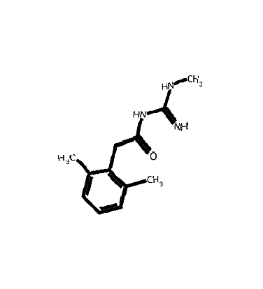 CNC(=N)NC(=O)Cc1c(C)cccc1C